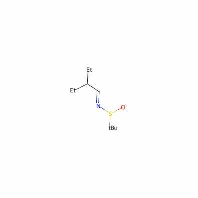 CCC(C=N[S+]([O-])C(C)(C)C)CC